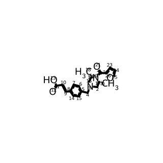 C[C@@H]1CN(Cc2ccc(C=CC(=O)O)cc2)C[C@H](C)N1C(=O)c1ccco1